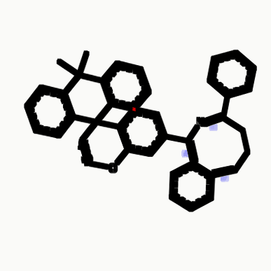 CC1(C)c2ccccc2C2(c3ccccc3Oc3cc(C4=c5\cccc\c5=C\CC/C(c5ccccc5)=N\4)ccc32)c2ccccc21